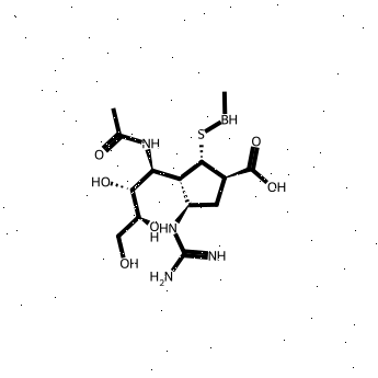 CBS[C@H]1[C@@H]([C@H](NC(C)=O)[C@@H](O)[C@@H](O)CO)[C@H](NC(=N)N)C[C@@H]1C(=O)O